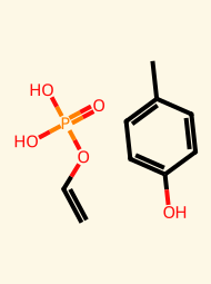 C=COP(=O)(O)O.Cc1ccc(O)cc1